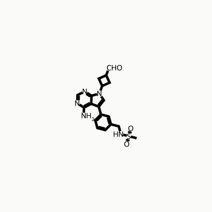 CS(=O)(=O)NCc1cccc(-c2cn(C3CC(C=O)C3)c3ncnc(N)c23)c1